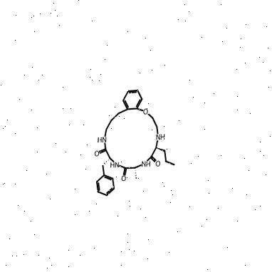 CCC[C@@H]1NCCOc2ccccc2CCCNC(=O)[C@@H](Cc2ccccc2)NC(=O)[C@@H](C)NC1=O